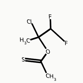 CC(=S)OC(C)(Cl)C(F)F